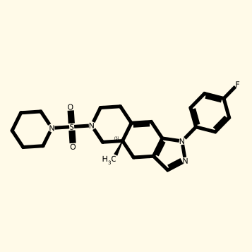 C[C@]12Cc3cnn(-c4ccc(F)cc4)c3C=C1CCN(S(=O)(=O)N1CCCCC1)C2